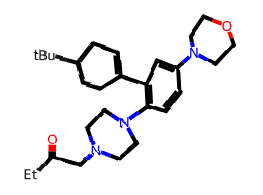 CCC(=O)CN1CCN(c2ccc(N3CCOCC3)cc2C2=CCC(C(C)(C)C)CC2)CC1